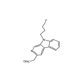 O=CCc1cc2c3ccccc3n(CCCF)c2cn1